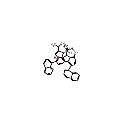 [CH2]=[Zr]([CH3])([CH3])([CH]1C(C(C)C)=Cc2c(-c3cccc4ccccc34)cccc21)[CH]1C(C)=Cc2c(-c3cccc4ccccc34)ccc(C)c21